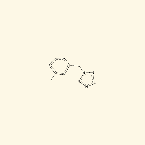 Cc1cccc(Cn2n[c]nn2)c1